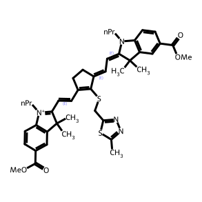 CCCN1/C(=C/C=C2\CCC(/C=C/C3=[N+](CCC)c4ccc(C(=O)OC)cc4C3(C)C)=C2SCc2nnc(C)s2)C(C)(C)c2cc(C(=O)OC)ccc21